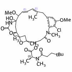 COc1cc2cc(c1Cl)N(C)C(=O)CC(OC(=O)[C@H](C)N(C)C(=O)CCC(C)(C)C)C1(C)CC(C)(O1)C1CC(O)(NC(=O)O1)C(OC)/C=C/C=C(\C)C2